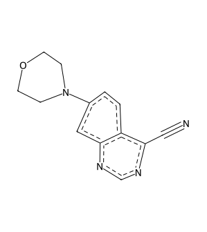 N#Cc1ncnc2cc(N3CCOCC3)ccc12